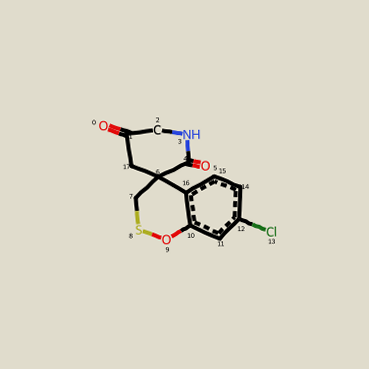 O=C1CNC(=O)C2(CSOc3cc(Cl)ccc32)C1